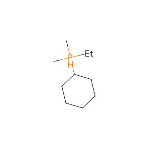 CC[PH](C)(C)C1CCCCC1